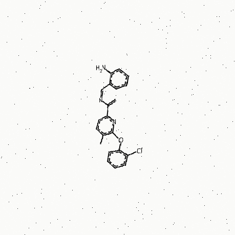 C=C(/N=C\c1ccccc1N)c1ccc(C)c(Oc2ccccc2Cl)n1